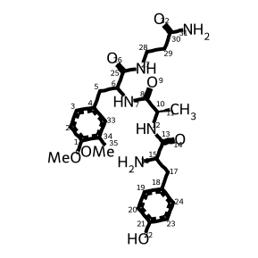 COc1ccc(CC(NC(=O)[C@@H](C)NC(=O)C(N)Cc2ccc(O)cc2)C(=O)NCCC(N)=O)cc1OC